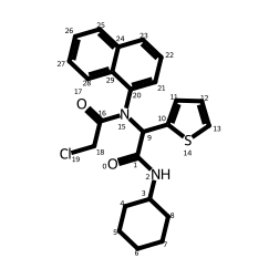 O=C(NC1CCCCC1)C(c1cccs1)N(C(=O)CCl)c1cccc2ccccc12